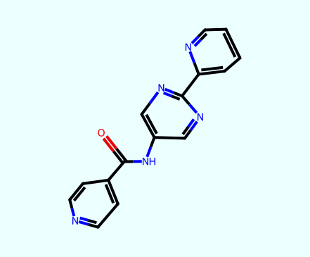 O=C(Nc1cnc(-c2ccccn2)nc1)c1ccncc1